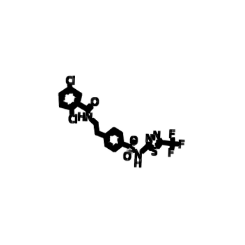 O=C(NCCc1ccc(S(=O)(=O)Nc2nnc(C(F)(F)F)s2)cc1)c1cc(Cl)ccc1Cl